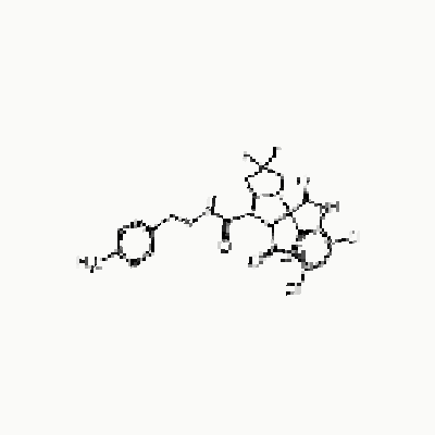 Cc1ccc(CCNC(=O)C2C3CC(F)(F)CN3C3(C(=O)Nc4c(Cl)cc(Cl)cc43)C2C(=O)O)cc1